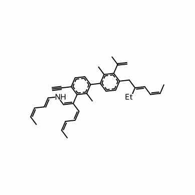 C#Cc1ccc(-c2ccc(C/C(=C/C=C\C)CC)c(C(=C)C)c2C)c(C)c1C(/C=C\C=C/C)=C\N/C=C/C=C\C